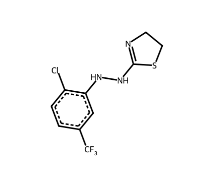 FC(F)(F)c1ccc(Cl)c(NNC2=NCCS2)c1